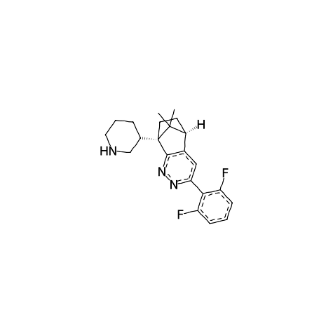 CC1(C)[C@H]2CC[C@]1(C1CCCNC1)c1nnc(-c3c(F)cccc3F)cc12